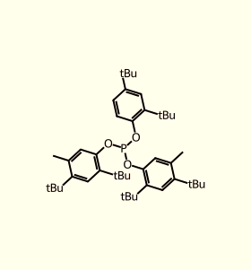 Cc1cc(OP(Oc2ccc(C(C)(C)C)cc2C(C)(C)C)Oc2cc(C)c(C(C)(C)C)cc2C(C)(C)C)c(C(C)(C)C)cc1C(C)(C)C